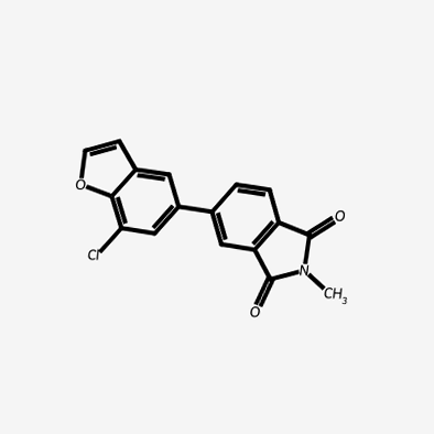 CN1C(=O)c2ccc(-c3cc(Cl)c4occc4c3)cc2C1=O